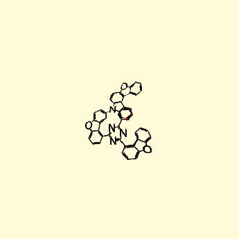 c1ccc(-c2nc(-c3cccc4oc5ccccc5c34)nc(-c3cccc4oc5ccc(-n6c7ccccc7c7c8c(ccc76)oc6ccccc68)cc5c34)n2)cc1